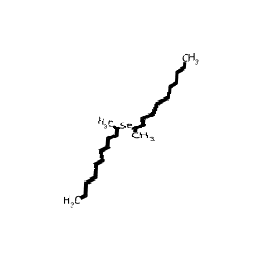 CCCCCCCCCCC(C)[Se]C(C)CCCCCCCCCC